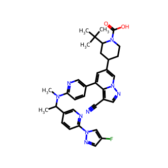 CC(c1ccc(-n2cc(F)cn2)nc1)N(C)c1ccc(-c2cc(C3CCN(C(=O)O)C(C(C)(C)C)C3)cn3ncc(C#N)c23)cn1